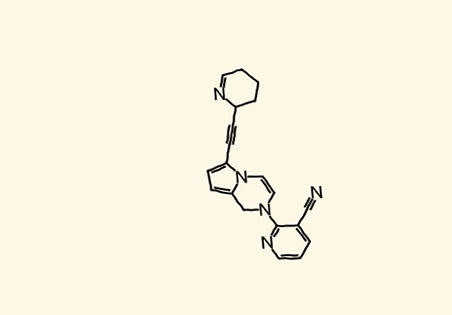 N#Cc1cccnc1N1C=Cn2c(C#CC3CCCC=N3)ccc2C1